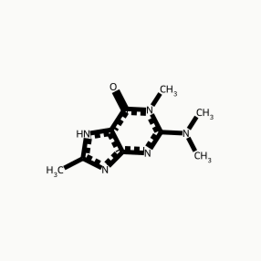 Cc1nc2nc(N(C)C)n(C)c(=O)c2[nH]1